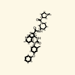 Cc1cc(Oc2ccccc2)ccc1N1C(=O)Nc2c(C(=O)NC3CCCN(C(=O)[C@H]4CCN(C)C4)C3)sc3nccc1c23